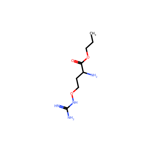 CCCOC(=O)C(N)CCONC(=N)N